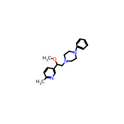 COC(CN1CCN(c2ccccc2)CC1)c1ccc(C)nc1